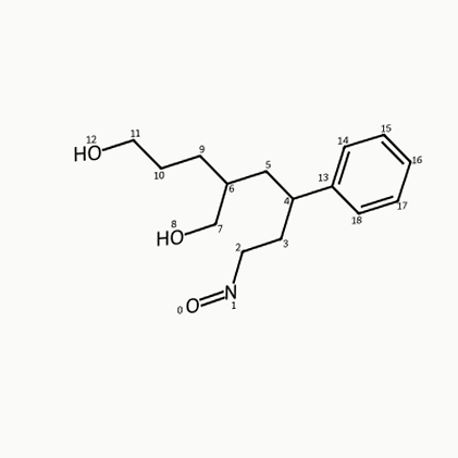 O=NCCC(CC(CO)CCCO)c1ccccc1